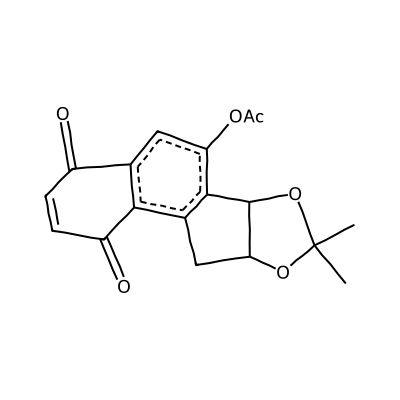 CC(=O)Oc1cc2c(c3c1C1OC(C)(C)OC1C3)C(=O)C=CC2=O